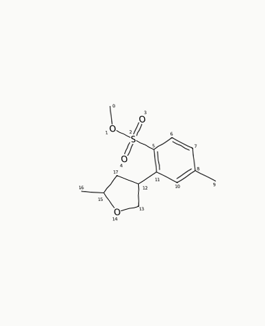 COS(=O)(=O)c1ccc(C)cc1C1COC(C)C1